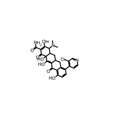 CN(C)C1C(O)=C(C(N)=O)C(=O)C2(O)C(O)=C3C(=O)c4c(O)ccc(-c5ccncc5Cl)c4CC3CC12